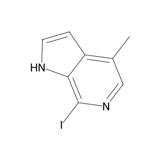 Cc1cnc(I)c2[nH]ccc12